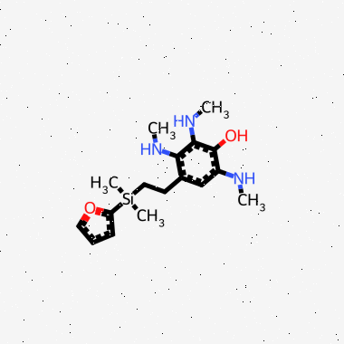 CNc1cc(CC[Si](C)(C)c2ccco2)c(NC)c(NC)c1O